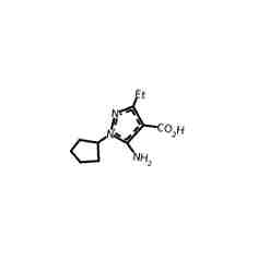 CCc1nn(C2CCCC2)c(N)c1C(=O)O